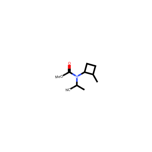 COC(=O)N(C(C)C#N)C1CCC1C